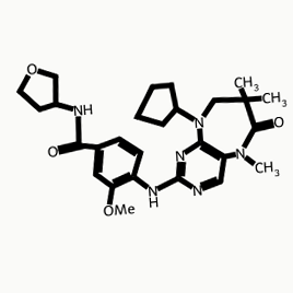 COc1cc(C(=O)NC2CCOC2)ccc1Nc1ncc2c(n1)N(C1CCCC1)CC(C)(C)C(=O)N2C